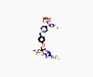 CN(C(=O)OC(C)(C)C)C1CCN(Cc2ccc(OCC3(C)Cn4cc([N+](=O)[O-])nc4O3)cc2)CC1